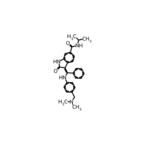 CC(C)NC(=O)c1ccc2c(c1)NC(=O)/C2=C(\Nc1ccc(CN(C)C)cc1)c1ccccc1